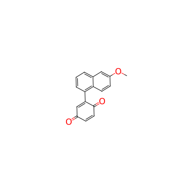 COc1ccc2c(C3=CC(=O)C=CC3=O)cccc2c1